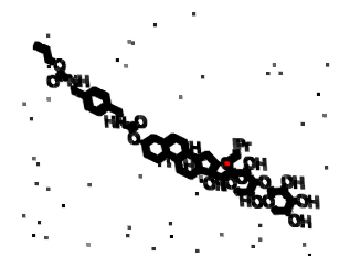 C=CCOC(=O)NCc1ccc(CNC(=O)O[C@H]2CC[C@@]3(C)C(=CC[C@@H]4C3CC[C@@]3(C)[C@H]4C[C@H](OC4OCC(O)C(OC5OCC(O)C(O)C5O)C4O)[C@]3(O)[C@H](C)C(=O)CCC(C)C)C2)cc1